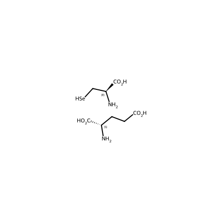 N[C@@H](CCC(=O)O)C(=O)O.N[C@@H](C[SeH])C(=O)O